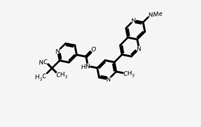 CNc1cc2ncc(-c3cc(NC(=O)c4ccnc(C(C)(C)C#N)c4)cnc3C)cc2cn1